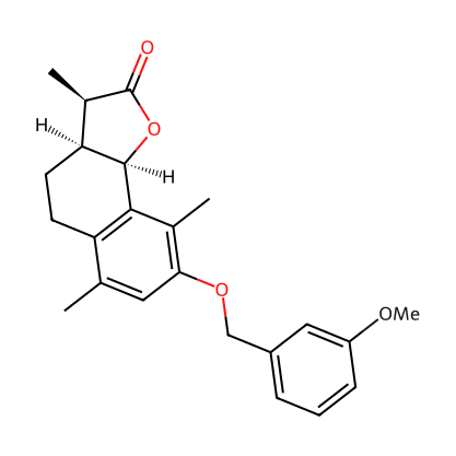 COc1cccc(COc2cc(C)c3c(c2C)[C@@H]2OC(=O)[C@H](C)[C@@H]2CC3)c1